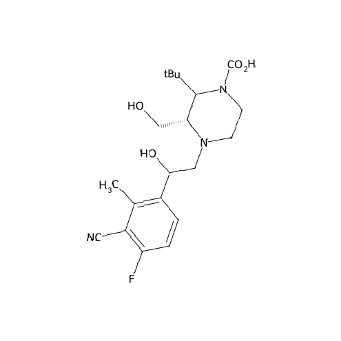 Cc1c(C(O)CN2CCN(C(=O)O)C(C(C)(C)C)[C@H]2CO)ccc(F)c1C#N